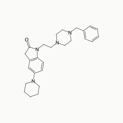 O=C1Cc2cc(N3CCCCC3)ccc2N1CCN1CCN(Cc2ccccc2)CC1